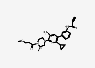 C#CC(=O)Nc1cccc(-c2cc(N)c(N3CCN(C(=O)CCOC)[C@H](C)C3)nc2C2CC2)c1